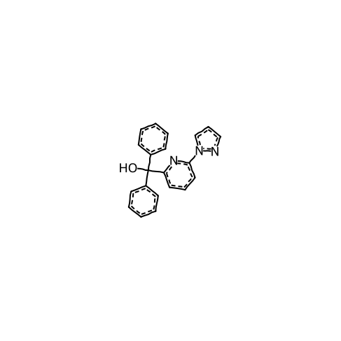 OC(c1ccccc1)(c1ccccc1)c1cccc(-n2cccn2)n1